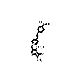 CC1C(=O)N2C(C(=O)O)=C(C[n+]3ccc(/C=C/c4ccc(N(C)C)cc4)cc3)CSC12